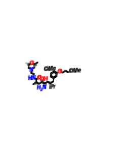 COCCCOc1cc(C[C@@H](C[C@H](N)[C@@H](O)C[C@@H](C)C(=O)NCCN2C[C@H](C)O[C@@H](C)C2)C(C)C)ccc1OC